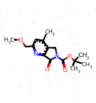 COCc1cc(C)c2c(n1)C(=O)N(C(=O)OC(C)(C)C)C2